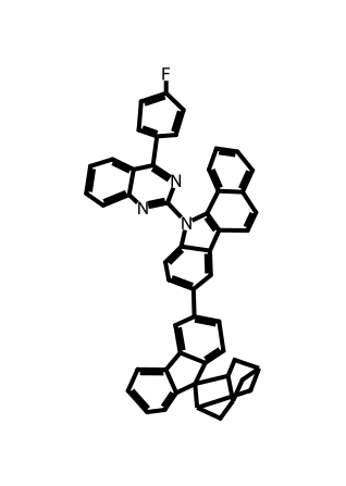 Fc1ccc(-c2nc(-n3c4ccc(-c5ccc6c(c5)-c5ccccc5C65C6CC7CC(C6)C5C7)cc4c4ccc5ccccc5c43)nc3ccccc23)cc1